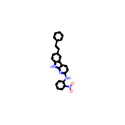 O=[N+]([O-])c1ccccc1Nc1ccc2c(n1)[nH]c1ccc(/C=C/c3ccccc3)cc12